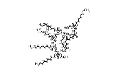 CCCCCCCCOP(=S)(OCO)OCOP(=S)(OCCCCCCCC)OCOP(=S)(OCCCNCC)OCOP(=S)(OCCCNCC)OCOP(=S)(OCCCNCC)OCOP(=S)(OCCCCCCCC)OCOP(=S)(OCO)OCCCCCCCC